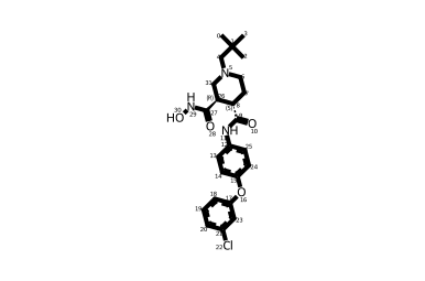 CC(C)(C)CN1CC[C@H](C(=O)Nc2ccc(Oc3cccc(Cl)c3)cc2)[C@@H](C(=O)NO)C1